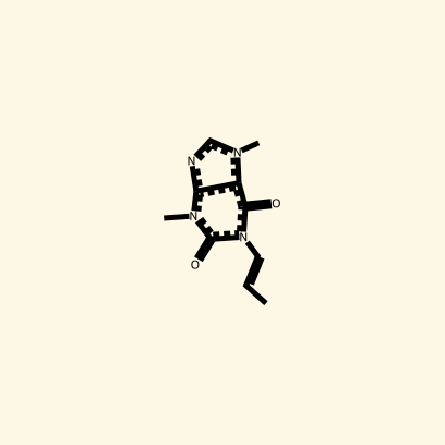 CC=Cn1c(=O)c2c(ncn2C)n(C)c1=O